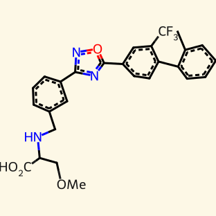 COCC(NCc1cccc(-c2noc(-c3ccc(-c4ccccc4C)c(C(F)(F)F)c3)n2)c1)C(=O)O